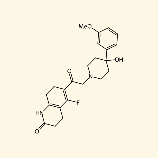 COc1cccc(C2(O)CCN(CC(=O)C3=C(F)C4=C(CC3)NC(=O)CC4)CC2)c1